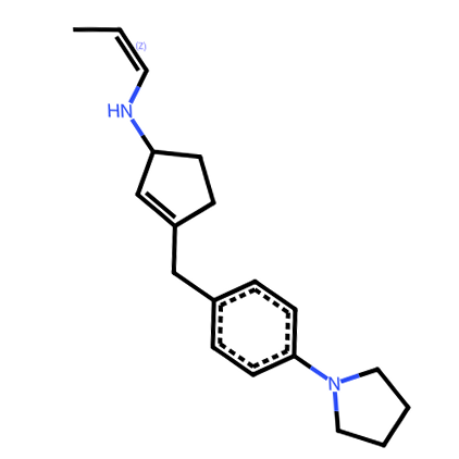 C/C=C\NC1C=C(Cc2ccc(N3CCCC3)cc2)CC1